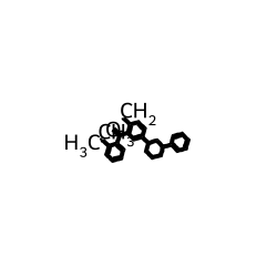 C=Cc1ccc(C2CCCC(c3ccccc3)C2)cc1C(=O)c1ccccc1C(C)C